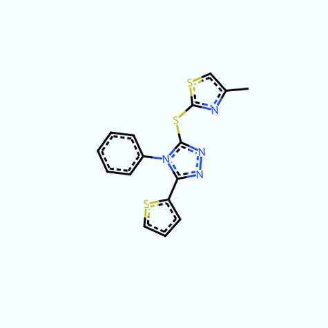 Cc1csc(Sc2nnc(-c3cccs3)n2-c2ccccc2)n1